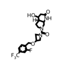 O=C1CC(O)[C@H]2CCN(C(=O)N3CC(OCc4ccc(C(F)(F)F)cc4F)C3)CC2N1